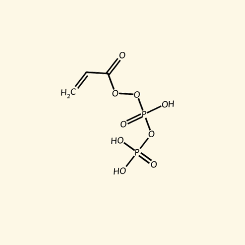 C=CC(=O)OOP(=O)(O)OP(=O)(O)O